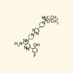 CC(C)(C)OC(=O)N1CC=C(c2cnc(N3CCC(n4nc(N)c5nnc(-c6cc(F)ccc6O)cc54)CC3)nc2)CC1